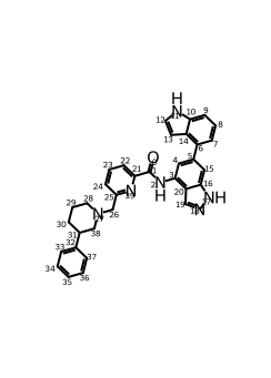 O=C(Nc1cc(-c2cccc3[nH]ccc23)cc2[nH]ncc12)c1cccc(CN2CCCC(c3ccccc3)C2)n1